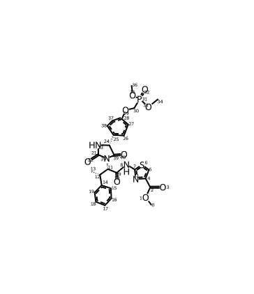 COC(=O)c1csc(NC(=O)[C@H]([C@@H](C)c2ccccc2)N2C(=O)N[C@H](c3ccc(OCP(=O)(OC)OC)cc3)C2=O)n1